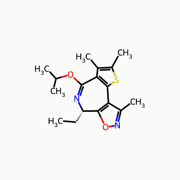 CC[C@@H]1N=C(OC(C)C)c2c(sc(C)c2C)-c2c(C)noc21